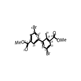 COC(=O)c1cc(Br)nc(-c2nc(Br)cc(C(=O)OC)c2C)c1